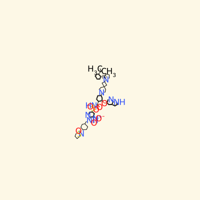 CC(C)c1ccccc1[C@@H]1CCCN1C1CC2(CCN(c3ccc(C(=O)NS(=O)(=O)c4cnc(NCC5CCC(N=S6(=O)CCCC6)CC5)c([N+](=O)[O-])c4)c(Oc4cnc5[nH]ccc5c4)c3)CC2)C1